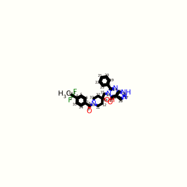 CC(F)(F)c1ccc(C(=O)N2CCC(O)(Cn3c(-c4ccccc4)nc4[nH]ncc4c3=O)CC2)cc1